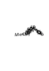 COc1cnc(-n2c(=S)[nH]c3cc(C(=O)NCc4ccc(Cl)cc4)ccc3c2=O)nc1